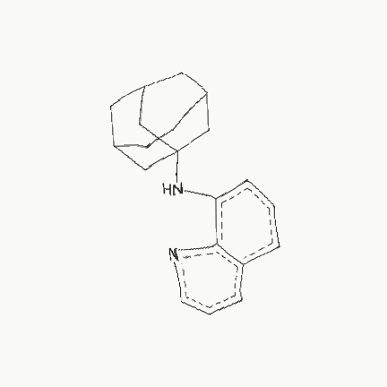 c1cnc2c(NC34CC5CC(CC(C5)C3)C4)cccc2c1